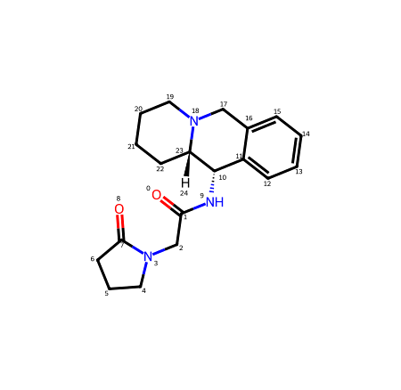 O=C(CN1CCCC1=O)N[C@H]1c2ccccc2CN2CCCC[C@@H]12